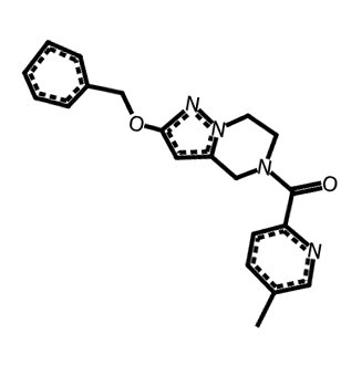 Cc1ccc(C(=O)N2CCn3nc(OCc4ccccc4)cc3C2)nc1